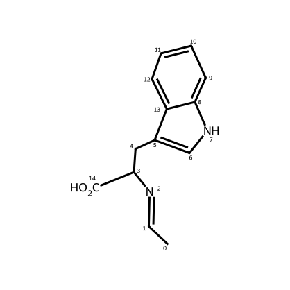 CC=NC(Cc1c[nH]c2ccccc12)C(=O)O